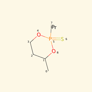 CC1CCOP(=S)(C(C)C)O1